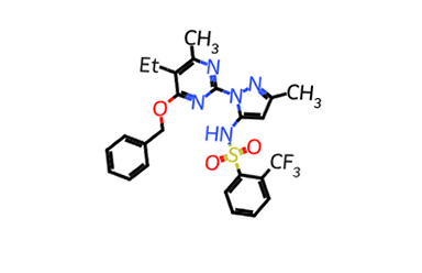 CCc1c(C)nc(-n2nc(C)cc2NS(=O)(=O)c2ccccc2C(F)(F)F)nc1OCc1ccccc1